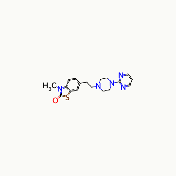 Cn1c(=O)sc2cc(CCN3CCN(c4ncccn4)CC3)ccc21